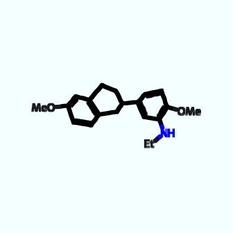 [CH2]CNc1cc(C2CCc3cc(OC)ccc3C2)ccc1OC